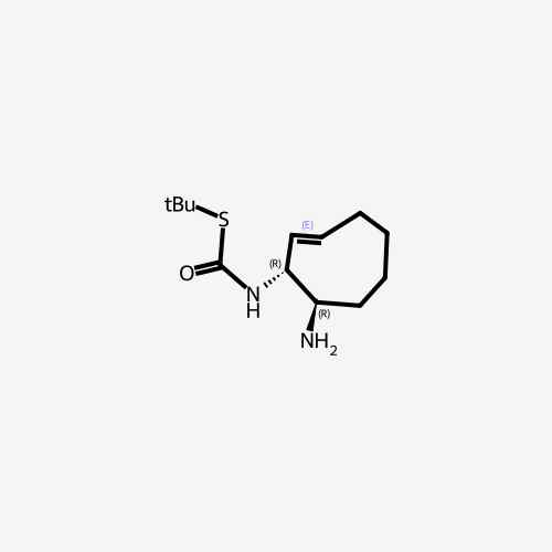 CC(C)(C)SC(=O)N[C@@H]1/C=C/CCCC[C@H]1N